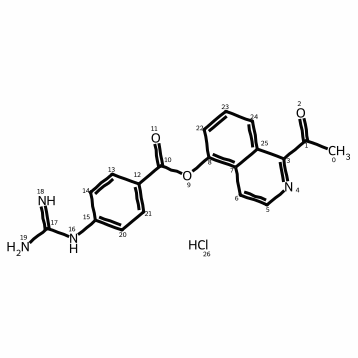 CC(=O)c1nccc2c(OC(=O)c3ccc(NC(=N)N)cc3)cccc12.Cl